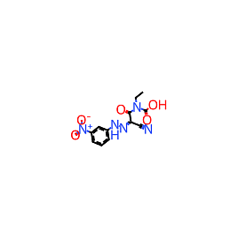 CCN(C(=O)O)C(=O)C(C#N)=NNc1cccc([N+](=O)[O-])c1